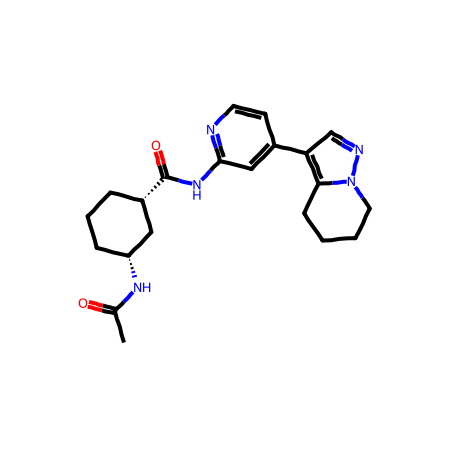 CC(=O)N[C@@H]1CCC[C@H](C(=O)Nc2cc(-c3cnn4c3CCCC4)ccn2)C1